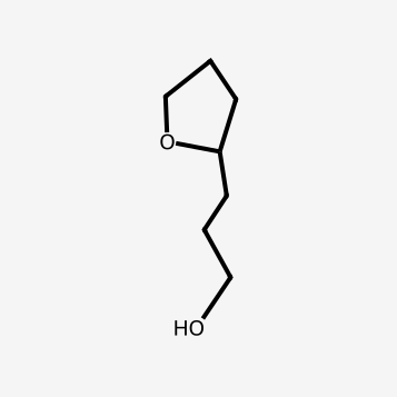 OCCCC1CCCO1